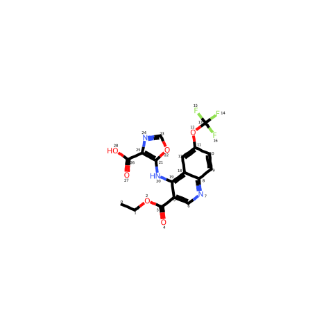 CCOC(=O)c1cnc2ccc(OC(F)(F)F)cc2c1Nc1ocnc1C(=O)O